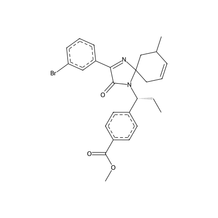 CC[C@H](c1ccc(C(=O)OC)cc1)N1C(=O)C(c2cccc(Br)c2)=NC12CC=CC(C)C2